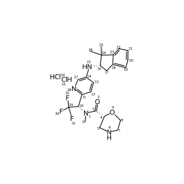 CN(C(=O)[C@H]1CNCCO1)[C@@H](c1ccc(N[C@H]2Cc3ccccc3C2(C)C)cn1)C(F)(F)F.Cl.Cl